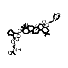 CC(=O)NCCOC(=O)c1ccccc1C(=O)O[C@H]1CC[C@]2(C)C3CC=C4C5CC(C)(C)CC[C@]5(C(=O)OCCN5CCOCC5)CC[C@@]4(C)[C@]3(C)CC[C@H]2C1(C)C